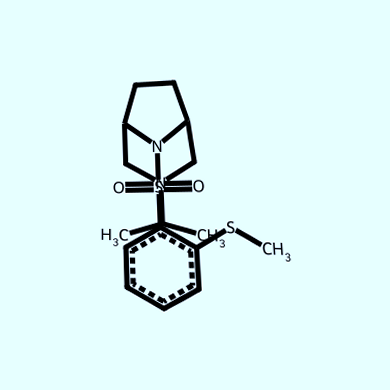 CSc1ccccc1S(=O)(=O)N1C2CCC1CN(C(C)C)C2